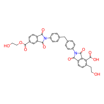 O=C(OCCO)c1ccc2c(c1)C(=O)N(c1ccc(Cc3ccc(N4C(=O)c5ccc(CCO)c(C(=O)O)c5C4=O)cc3)cc1)C2=O